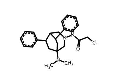 CN(C)C12CC(c3ccccc3)C(CN(NC(=O)CCl)C1)C(c1ccccc1)C2